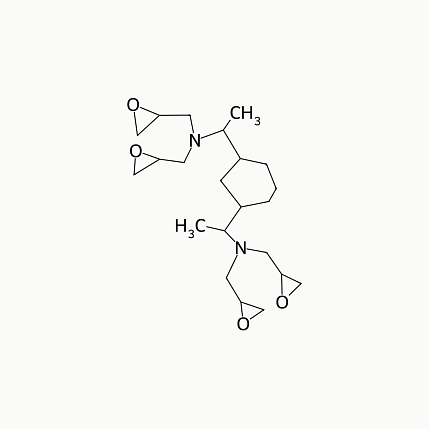 CC(C1CCCC(C(C)N(CC2CO2)CC2CO2)C1)N(CC1CO1)CC1CO1